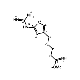 COC(=N)CCSCc1csc(NC(=N)N)n1